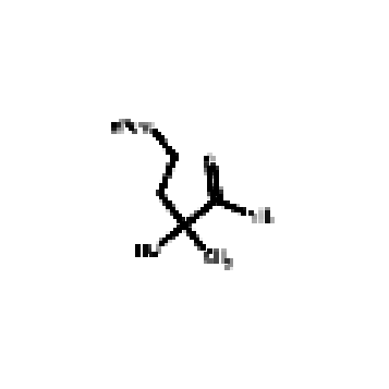 CCCCCCCC(C)(O)C(N)=O